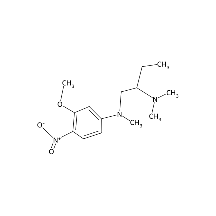 CCC(CN(C)c1ccc([N+](=O)[O-])c(OC)c1)N(C)C